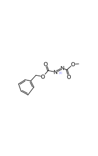 COC(=O)/N=N/C(=O)OCc1ccccc1